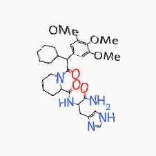 COc1cc(C(C(=O)N2CCCCC2C(=O)NC(Cc2c[nH]cn2)C(N)=O)C2CCCCC2)cc(OC)c1OC